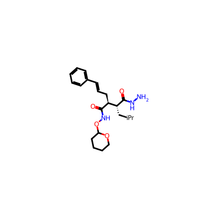 CC(C)C[C@@H](C(=O)NN)[C@H](C/C=C/c1ccccc1)C(=O)NOC1CCCCO1